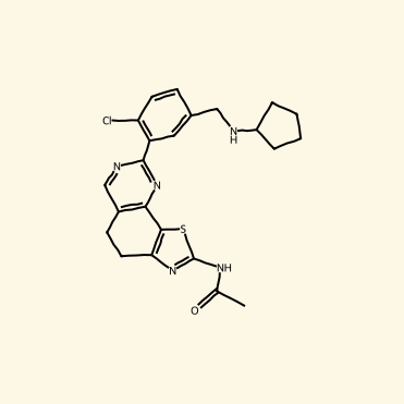 CC(=O)Nc1nc2c(s1)-c1nc(-c3cc(CNC4CCCC4)ccc3Cl)ncc1CC2